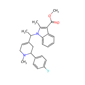 COC(=O)c1c(C)n(C(C)C2=CCN(C)C(c3ccc(F)cc3)C2)c2ccccc12